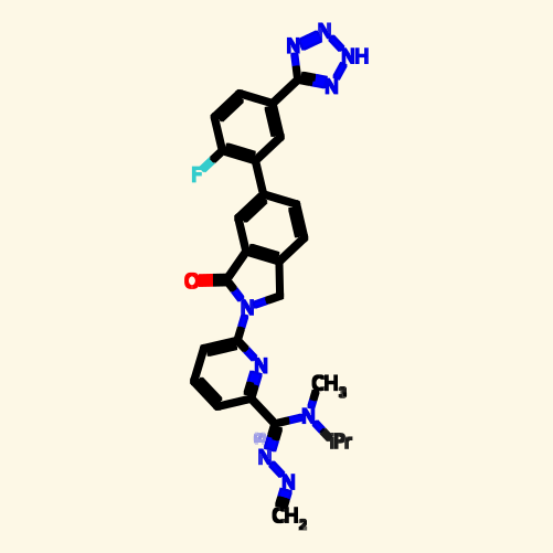 C=N/N=C(/c1cccc(N2Cc3ccc(-c4cc(-c5nn[nH]n5)ccc4F)cc3C2=O)n1)N(C)C(C)C